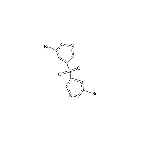 O=S(=O)(c1cncc(Br)c1)c1cncc(Br)c1